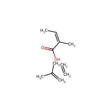 C=C.C=C(C)C.CC=C(C)C(=O)O